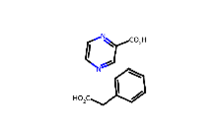 O=C(O)Cc1ccccc1.O=C(O)c1cnccn1